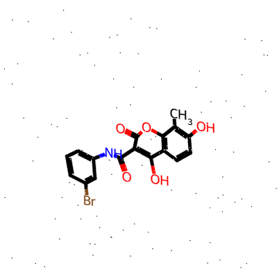 Cc1c(O)ccc2c(O)c(C(=O)Nc3cccc(Br)c3)c(=O)oc12